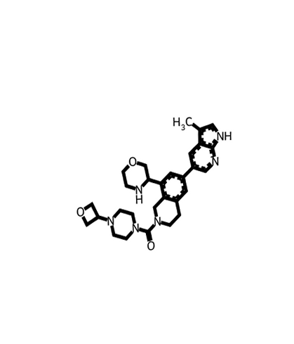 Cc1c[nH]c2ncc(-c3cc4c(c(C5COCCN5)c3)CN(C(=O)N3CCN(C5COC5)CC3)CC4)cc12